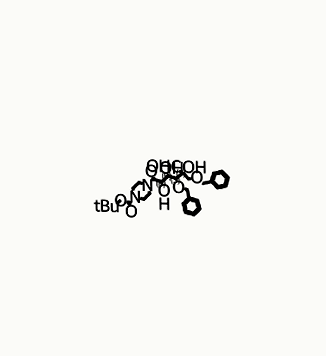 CC(C)(C)OC(=O)N1CCN(C(=O)[C@H](O)[C@@H](O)[C@H](OCc2ccccc2)[C@](O)(C=O)COCc2ccccc2)CC1